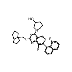 OC1CCCN(c2nc(OCC34CCCN3CCC4)nc3c(F)c(-c4cccc5cccc(F)c45)ncc23)C1